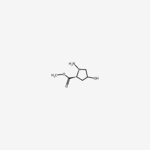 COC(=O)[C@@H]1CC(O)CN1N